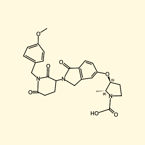 COc1ccc(CN2C(=O)CCC(N3Cc4cc(O[C@H]5CCN(C(=O)O)[C@@H]5C)ccc4C3=O)C2=O)cc1